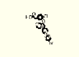 O=C(O)Cc1ccc(Cl)c(OCCC2(N3CCOCC3)CCN(c3ncc(Br)cn3)CC2)c1